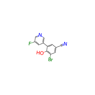 N#Cc1cc(Br)c(O)c(-c2cncc(F)c2)c1